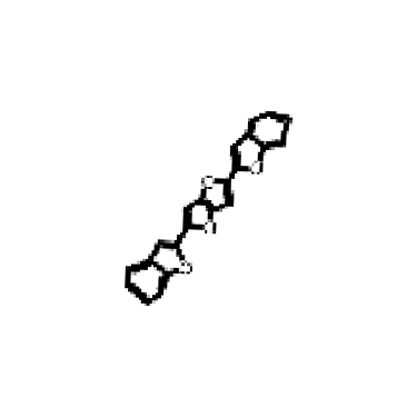 c1ccc2oc(-c3cc4oc(-c5cc6ccccc6o5)cc4o3)cc2c1